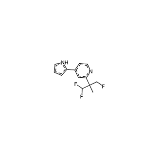 CC(CF)(c1cc(-c2ccc[nH]2)ccn1)C(F)F